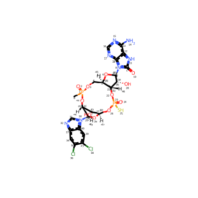 CP1(=O)OC[C@H]2O[C@@H](n3c(=O)[nH]c4c(N)ncnc43)[C@H](O)[C@@H]2OP(=O)(S)O[C@H]2O[C@@H](n3cnc4cc(Cl)c(Cl)cc43)[C@H](O1)[C@@H]2O